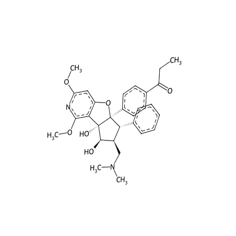 CCC(=O)c1ccc([C@@]23Oc4cc(OC)nc(OC)c4[C@]2(O)[C@H](O)[C@H](CN(C)C)[C@H]3c2ccccc2)cc1